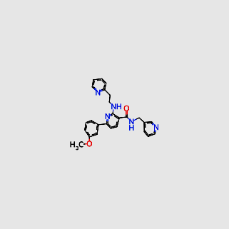 COc1cccc(-c2ccc(C(=O)NCc3cccnc3)c(NCCc3ccccn3)n2)c1